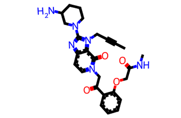 CC#CCn1c(N2CCCC(N)C2)nc2ccn(CC(=O)c3ccccc3OCC(=O)NC)c(=O)c21